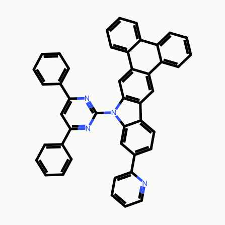 c1ccc(-c2cc(-c3ccccc3)nc(-n3c4cc(-c5ccccn5)ccc4c4cc5c6ccccc6c6ccccc6c5cc43)n2)cc1